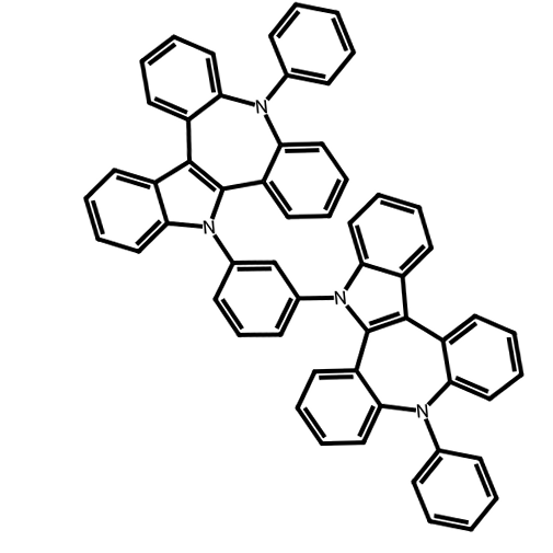 c1ccc(N2c3ccccc3-c3c(n(-c4cccc(-n5c6c(c7ccccc75)-c5ccccc5N(c5ccccc5)c5ccccc5-6)c4)c4ccccc34)-c3ccccc32)cc1